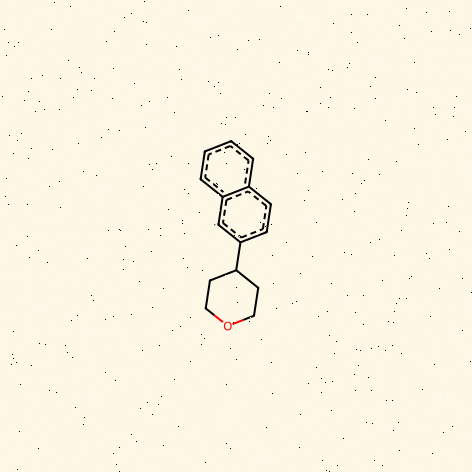 [c]1c(C2CCOCC2)ccc2ccccc12